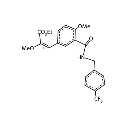 CCOC(=O)/C(=C\c1ccc(OC)c(C(=O)NCc2ccc(C(F)(F)F)cc2)c1)OC